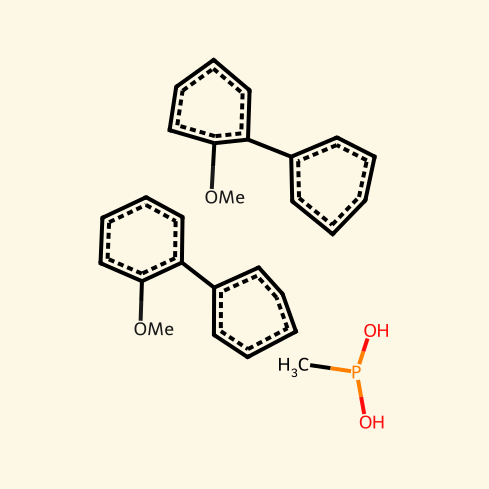 COc1ccccc1-c1ccccc1.COc1ccccc1-c1ccccc1.CP(O)O